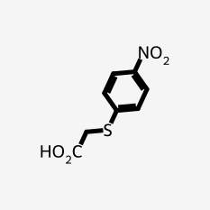 O=C(O)CSc1ccc([N+](=O)[O-])cc1